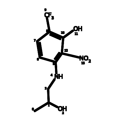 CC(O)CNc1ccc(C(F)(F)F)c(O)c1[N+](=O)[O-]